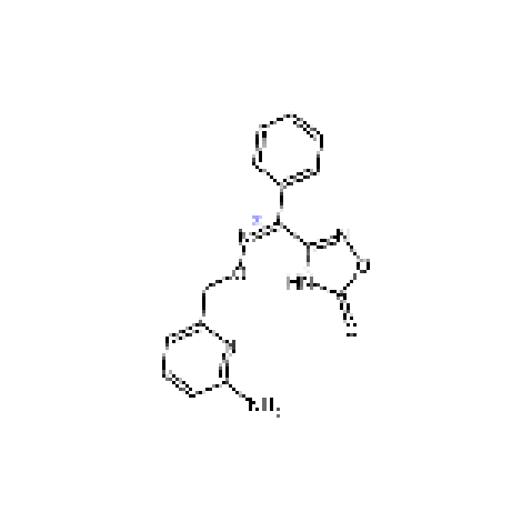 Nc1cccc(CO/N=C(/c2ccccc2)c2noc(=O)[nH]2)n1